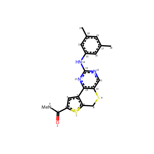 CNC(=O)c1cc2c(s1)CSc1cnc(Nc3cc(C)cc(C)c3)nc1-2